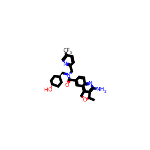 CC1OCc2c1c(N)nc1ccc(C(=O)N(Cc3ccc(C(F)(F)F)cn3)C[C@H]3CC[C@H](O)CC3)cc21